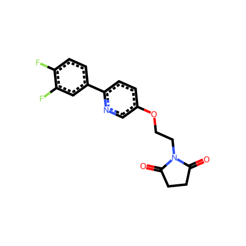 O=C1CCC(=O)N1CCOc1ccc(-c2ccc(F)c(F)c2)nc1